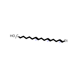 CC/C=C/CC/C=C/CC/C=C/CCCCCC(=O)O